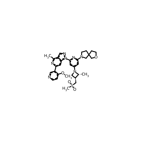 COc1ccncc1-c1cc2c(cnn2-c2cc(N3C[C@H](CS(C)(=O)=O)[C@H]3C)cc(N3CCC4(CCOC4)C3)n2)c(C)n1